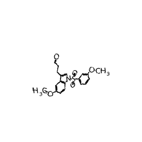 COc1cccc(S(=O)(=O)n2cc(CCC=O)c3cc(OC)ccc32)c1